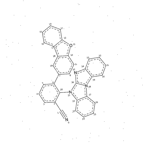 N#Cc1cccc(-c2ccc3oc4ccccc4c3c2)c1-n1c2ccccc2n2c3ccccc3nc12